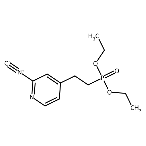 [C-]#[N+]c1cc(CCP(=O)(OCC)OCC)ccn1